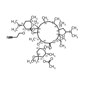 CC[C@H]1OC(=O)[C@H](C)[C@@H](O[C@H]2C[C@@](C)(OC)[C@@H](OC(C)=O)[C@H](C)O2)[C@H](C)[C@@H](O[C@@H]2O[C@H](C)C[C@H](N(C)C)[C@H]2OCCC#N)[C@](C)(O)C[C@@H](C)CN(C)[C@H](C)[C@H]2CC(N(C)C)O[C@@]21C